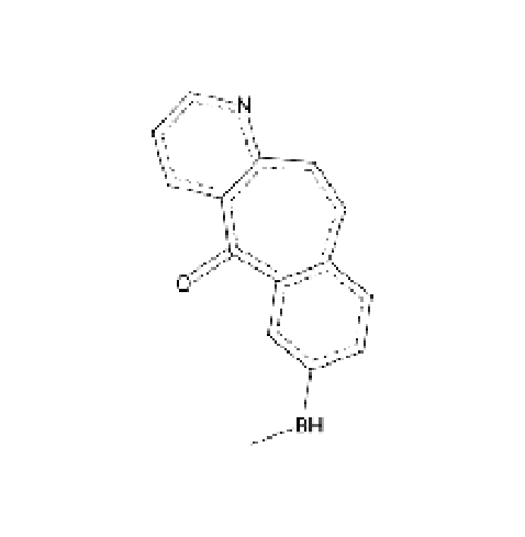 CBc1ccc2ccc3ncccc3c(=O)c2c1